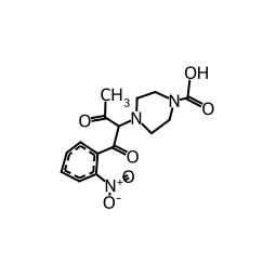 CC(=O)C(C(=O)c1ccccc1[N+](=O)[O-])N1CCN(C(=O)O)CC1